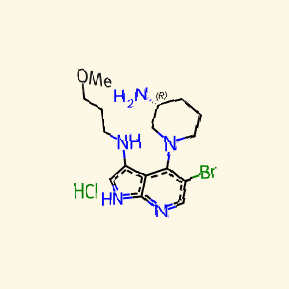 COCCCNc1c[nH]c2ncc(Br)c(N3CCC[C@@H](N)C3)c12.Cl